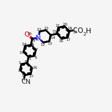 N#Cc1ccc(-c2ccc(C(=O)N3CCC(c4ccc(C(=O)O)cc4)CC3)cc2)cc1